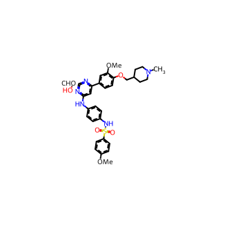 COc1ccc(S(=O)(=O)Nc2ccc(Nc3cc(-c4ccc(OCC5CCN(C)CC5)c(OC)c4)ncn3)cc2)cc1.O=CO